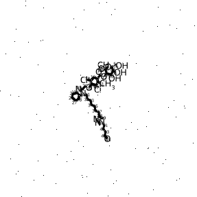 CO[C@H]1O[C@H](CO)[C@@H](O)[C@H](O)[C@H]1OC(=O)c1cc(Cl)c(OCc2nc3ccccc3n2CCCCCCCc2cn(CCCC=O)nn2)c(Cl)c1C